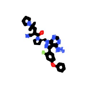 CC(C)(C=C(C#N)C(=O)N1CCC[C@H]1Cn1nc(-c2ccc(Oc3ccccc3)cc2F)c2c(N)ncnc21)N1CCCC1